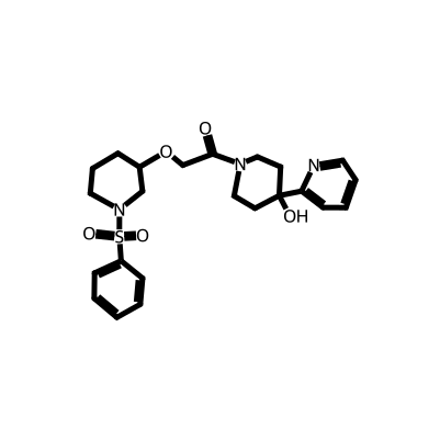 O=C(COC1CCCN(S(=O)(=O)c2ccccc2)C1)N1CCC(O)(c2ccccn2)CC1